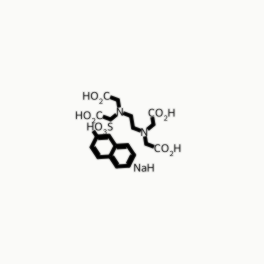 O=C(O)CN(CCN(CC(=O)O)CC(=O)O)CC(=O)O.O=S(=O)(O)c1ccc2ccccc2c1.[NaH]